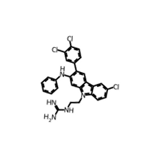 N=C(N)NCCn1c2ccc(Cl)cc2c2cc(-c3ccc(Cl)c(Cl)c3)c(Nc3ccccc3)cc21